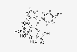 CC1(C(=O)O)C=CC(C(=O)c2occc2Cc2ccc(F)cc2)C(O)(C(=O)O)C1